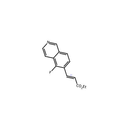 CCOC(=O)/C=C/c1ccc2cnccc2c1F